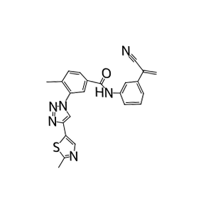 C=C(C#N)c1cccc(NC(=O)c2ccc(C)c(-n3cc(-c4cnc(C)s4)nn3)c2)c1